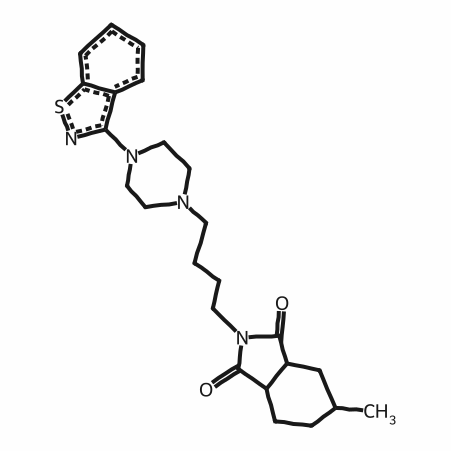 CC1CCC2C(=O)N(CCCCN3CCN(c4nsc5ccccc45)CC3)C(=O)C2C1